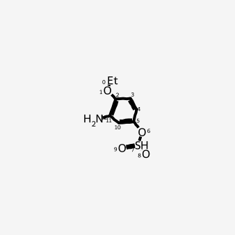 CCOc1ccc(O[SH](=O)=O)cc1N